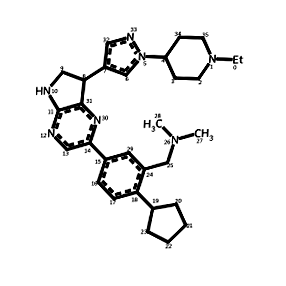 CCN1CCC(n2cc(C3CNc4ncc(-c5ccc(C6CCCC6)c(CN(C)C)c5)nc43)cn2)CC1